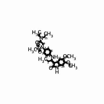 CCC(Nc1ccc(N(CC(=O)N(CC)CC)S(C)(=O)=O)cc1)=C1C(=O)Nc2cc(OC)c(OC)cc21